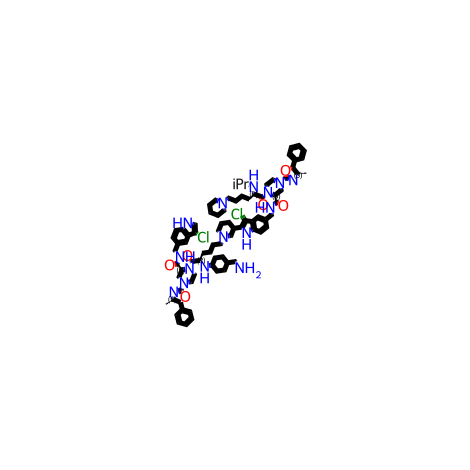 CC(C)N[C@H](CCCCN1CCCCC1)C(=O)N1CCN(C2=N[C@@H](C)C(c3ccccc3)O2)C[C@H]1C(=O)NCc1ccc2[nH]c(C3CCCN(CCCC[C@@H](NC4CCC(CN)CC4)C(=O)N4CCN(C5=N[C@@H](C)C(c6ccccc6)O5)C[C@H]4C(=O)NCc4ccc5[nH]cc(Cl)c5c4)C3)c(Cl)c2c1